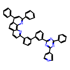 c1ccc(-c2cc(-c3ccccc3)c3ccc4ccc(-c5cccc(-c6cccc(-c7nc(-c8ccccc8)nc(-c8ccncc8)n7)c6)c5)nc4c3n2)cc1